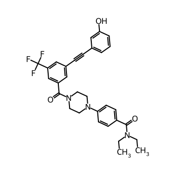 CCN(CC)C(=O)c1ccc(N2CCN(C(=O)c3cc(C#Cc4cccc(O)c4)cc(C(F)(F)F)c3)CC2)cc1